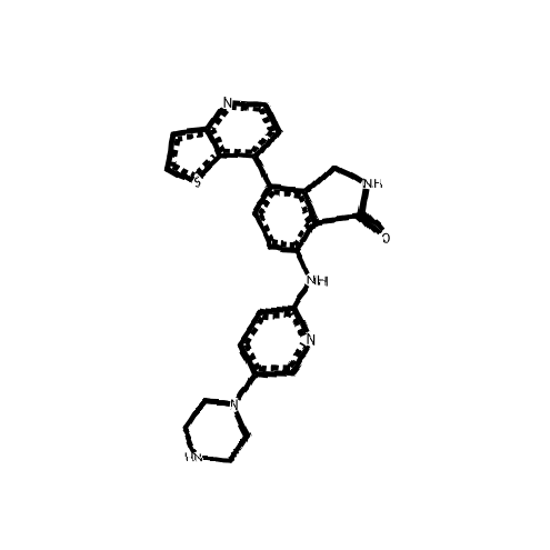 O=C1NCc2c(-c3ccnc4ccsc34)ccc(Nc3ccc(N4CCNCC4)cn3)c21